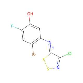 Oc1cc(/N=c2\ssnc2Cl)c(Br)cc1F